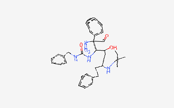 CC(C)(C)NC(CCc1ccccc1)C(O)C(NC(=O)NCc1ccccc1)C(N)(C=O)c1ccccc1